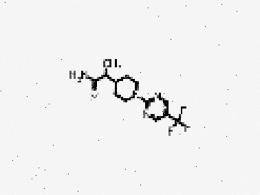 CC(C(N)=O)C1CCN(c2ncc(C(F)(F)F)cn2)CC1